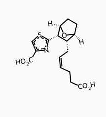 O=C(O)CC/C=C\C[C@@H]1[C@H](c2nc(C(=O)O)cs2)[C@H]2CC[C@@H]1O2